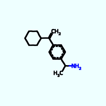 C=C(c1ccc(C(C)N)cc1)C1CCCCC1